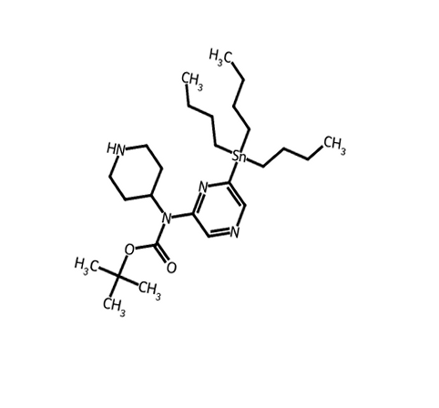 CCC[CH2][Sn]([CH2]CCC)([CH2]CCC)[c]1cncc(N(C(=O)OC(C)(C)C)C2CCNCC2)n1